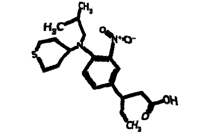 CCC(CC(=O)O)c1ccc(N(CC(C)C)C2CCSCC2)c([N+](=O)[O-])c1